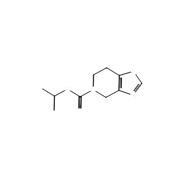 CC(C)NC(=O)N1CCc2[nH]cnc2C1.Cl